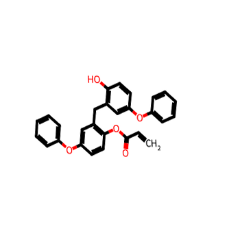 C=CC(=O)Oc1ccc(Oc2ccccc2)cc1Cc1cc(Oc2ccccc2)ccc1O